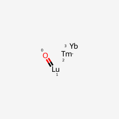 [O]=[Lu].[Tm].[Yb]